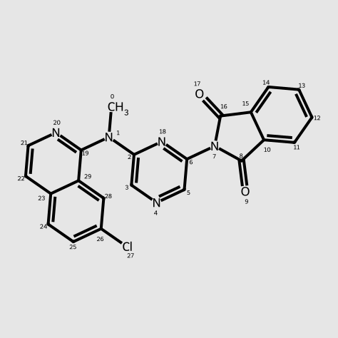 CN(c1cncc(N2C(=O)c3ccccc3C2=O)n1)c1nccc2ccc(Cl)cc12